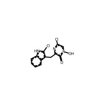 O=c1c(Cc2c(Cl)[nH]c3ccccc23)nc(Cl)cn1O